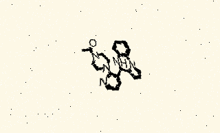 CC(=O)N1CCN(c2ncccc2C2Nc3ccccc3-n3cccc32)CC1